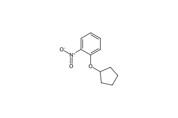 O=[N+]([O-])c1ccccc1OC1CCCC1